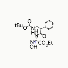 CCOC(=O)/C(=N\O)NC(=O)C(CNC(=O)OC(C)(C)C)c1ccccc1